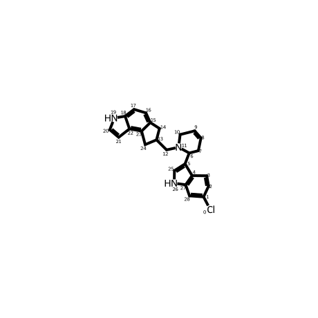 Clc1ccc2c(C3CC=CCN3CC3Cc4ccc5[nH]ccc5c4C3)c[nH]c2c1